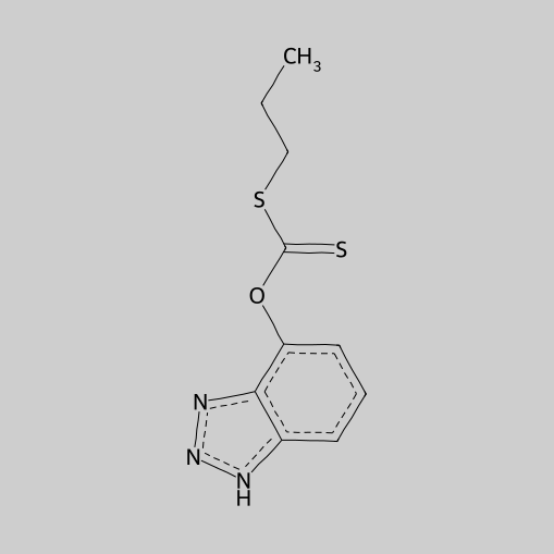 CCCSC(=S)Oc1cccc2[nH]nnc12